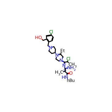 CCCCNC(=O)/C(C)=C(N)/N=C(\C(C)Cl)N1CCN(C2CCN(Cc3ccc(Cl)cc3CO)CC2)[C@@H](CC)C1